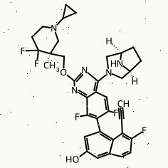 C#Cc1c(F)ccc2cc(O)cc(-c3c(F)cc4c(N5C[C@H]6CC[C@@H](C5)N6)nc(OC[C@]5(C)CN(C6CC6)CCC5(F)F)nc4c3F)c12